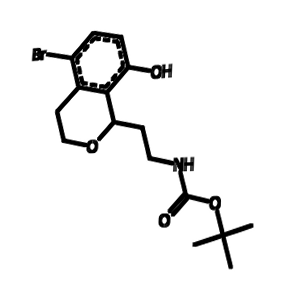 CC(C)(C)OC(=O)NCCC1OCCc2c(Br)ccc(O)c21